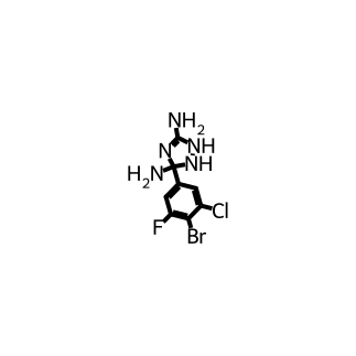 NC1=NC(N)(c2cc(F)c(Br)c(Cl)c2)NN1